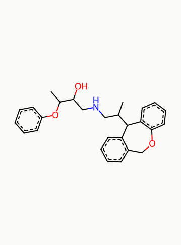 CC(CNCC(O)C(C)Oc1ccccc1)C1c2ccccc2COc2ccccc21